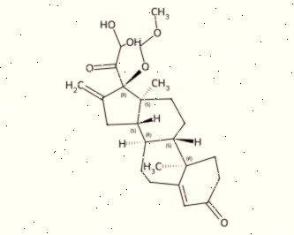 C=C1C[C@H]2[C@@H]3CCC4=CC(=O)CC[C@]4(C)[C@H]3CC[C@]2(C)[C@@]1(OCOC)C(=O)C(O)O